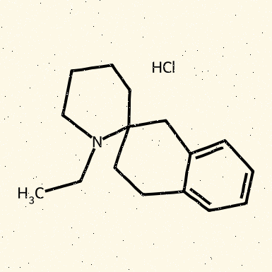 CCN1CCCCC12CCc1ccccc1C2.Cl